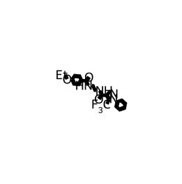 CCOc1ccc(C(=O)NCCNC(=O)c2cnn(-c3ccccc3)c2C(F)(F)F)cc1